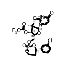 C[C@@]1(F)[C@H](OC(=O)C(F)(F)F)[C@@H](COP2(=O)OCC[C@@H](c3cccc(Cl)c3)O2)O[C@H]1n1ccc(=O)[nH]c1=O